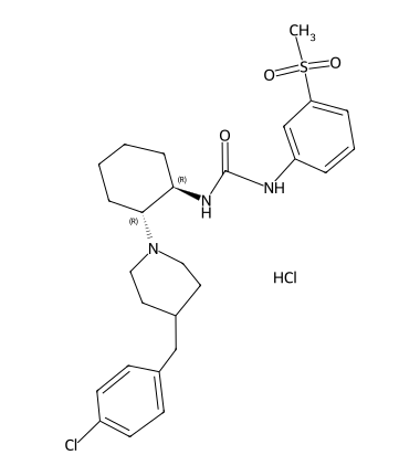 CS(=O)(=O)c1cccc(NC(=O)N[C@@H]2CCCC[C@H]2N2CCC(Cc3ccc(Cl)cc3)CC2)c1.Cl